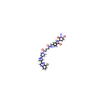 O=C(CCCC(=O)N1CCC(n2cc(-c3cnc4cccc(Br)c4n3)cn2)CC1)NCc1ccc2c(c1)CN(C1CCC(=O)NC1=O)C2=O